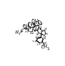 C=C1c2c(O)c(=O)nc(CC3(c4cccc(CC)c4)CCCC3)n2CCN1C(C)C